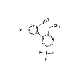 CCc1ccc(C(F)(F)F)cc1-n1cc(Br)cc1C#N